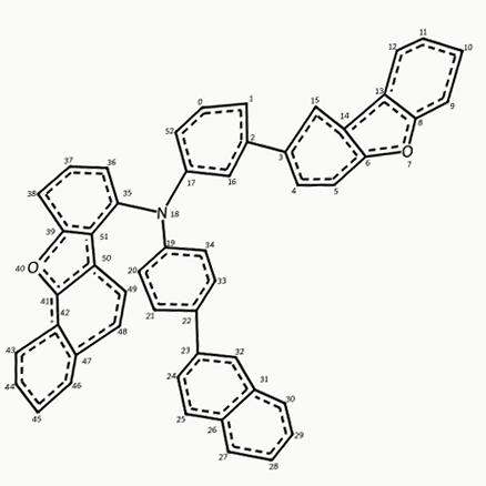 c1cc(-c2ccc3oc4ccccc4c3c2)cc(N(c2ccc(-c3ccc4ccccc4c3)cc2)c2cccc3oc4c5ccccc5ccc4c23)c1